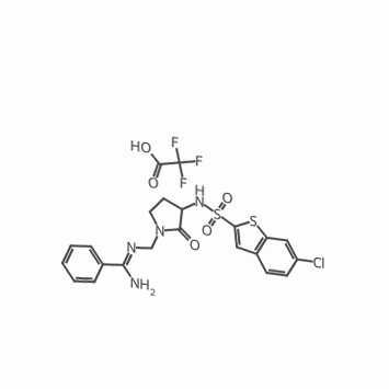 NC(=NCN1CCC(NS(=O)(=O)c2cc3ccc(Cl)cc3s2)C1=O)c1ccccc1.O=C(O)C(F)(F)F